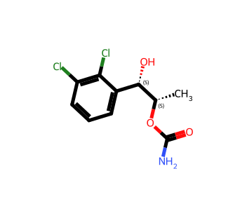 C[C@H](OC(N)=O)[C@@H](O)c1cccc(Cl)c1Cl